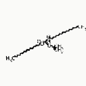 CCCCCCCCC=CCCCCCCCC(=O)OCC(COC(=O)CCCCCCCC=CCCCCCCCC)NC(=S)OCCN(C)C